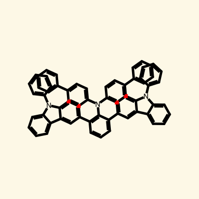 c1ccc(-c2ccc(N(c3ccc(-c4ccccc4)cc3)c3c(-c4ccc5c(c4)c4ccccc4n5-c4ccccc4)cccc3-c3ccc4c(c3)c3ccccc3n4-c3ccccc3)cc2)cc1